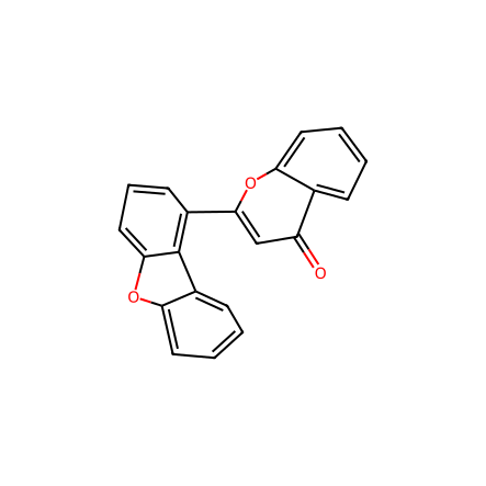 O=c1cc(-c2cccc3oc4ccccc4c23)oc2ccccc12